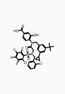 CC(C)(C)c1cc(CN(C(=O)CN(Cc2ccccc2Cl)S(=O)(=O)c2c(F)c(F)c(F)c(F)c2Cl)c2ccc(C(=O)O)cc2O)cc(C2CC2)c1